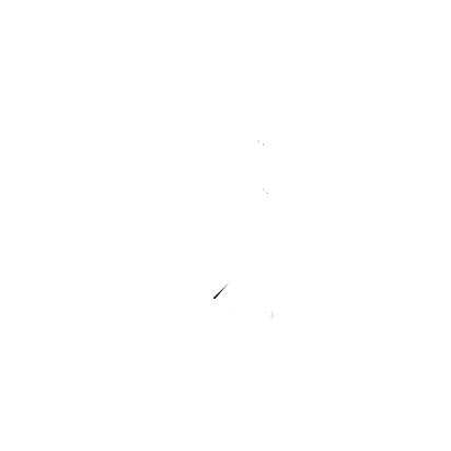 Cc1n([C@@H]2CC[C@@H](C(C(N)=O)(c3ccccc3)c3ccccc3)C2)cc[n+]1C(F)F.[Br-]